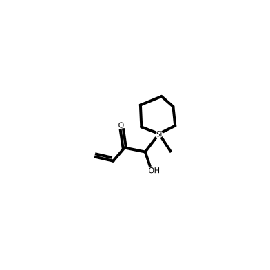 C=CC(=O)C(O)[Si]1(C)CCCCC1